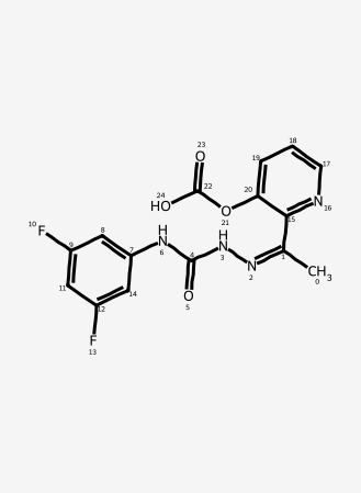 CC(=NNC(=O)Nc1cc(F)cc(F)c1)c1ncccc1OC(=O)O